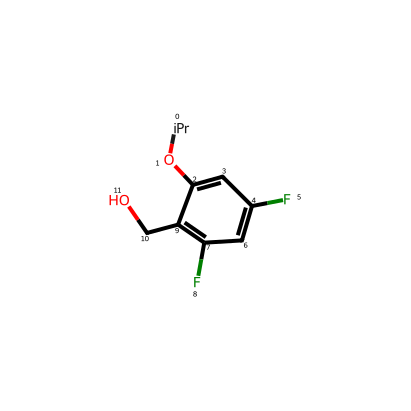 CC(C)Oc1cc(F)cc(F)c1CO